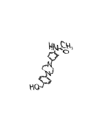 CC(=O)Nc1ccc(N2CCN(c3ccc(CO)cc3)CC2)cc1